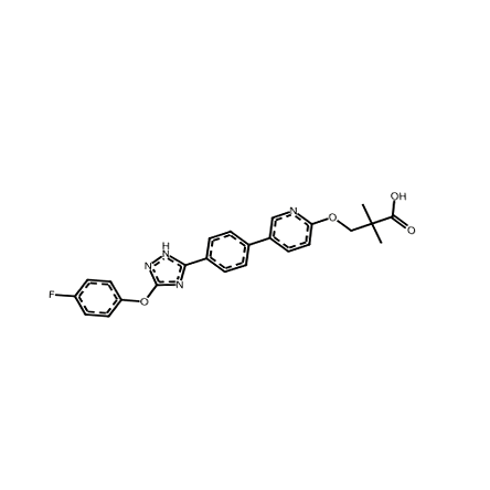 CC(C)(COc1ccc(-c2ccc(-c3nc(Oc4ccc(F)cc4)n[nH]3)cc2)cn1)C(=O)O